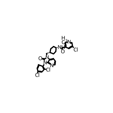 Cc1ncc(Cl)cc1C(=O)N[C@H]1CC[C@H](Cn2c(=O)n(-c3ccc(Cl)cc3Cl)c3ncccc32)CC1